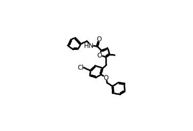 Cc1cc(C(=O)NCc2ccccc2)oc1Cc1cc(Cl)ccc1OCc1ccccc1